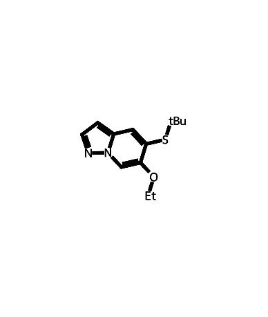 CCOc1cn2nccc2cc1SC(C)(C)C